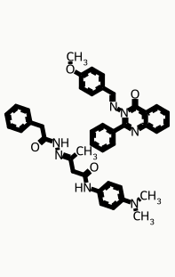 C/C(CC(=O)Nc1ccc(N(C)C)cc1)=N\NC(=O)Cc1ccccc1.COc1ccc(/C=N/n2c(-c3ccccc3)nc3ccccc3c2=O)cc1